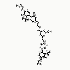 CCOc1ccc(-c2ccc(OCCCC(CCO)CCCOC3CCC(c4ccc(OCC)c(F)c4C(F)(F)F)CC3)cc2F)c(C(F)(F)F)c1F